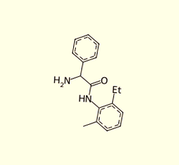 CCc1cccc(C)c1NC(=O)C(N)c1ccccc1